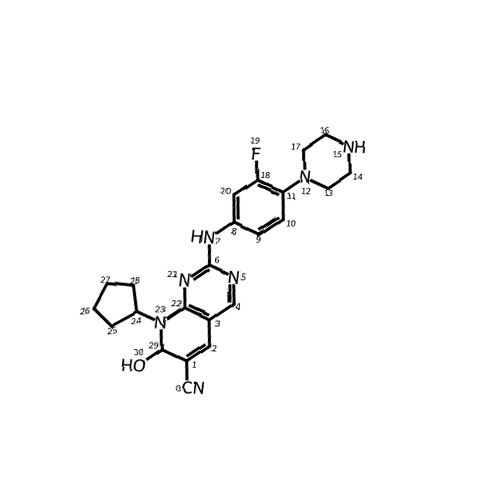 N#CC1=Cc2cnc(Nc3ccc(N4CCNCC4)c(F)c3)nc2N(C2CCCC2)C1O